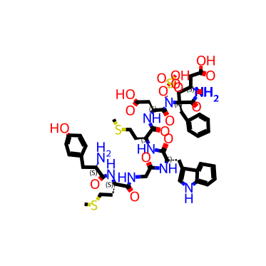 CSCC[C@H](NC(=O)[C@H](Cc1c[nH]c2ccccc12)NC(=O)CNC(=O)[C@H](CCSC)NC(=O)[C@@H](N)Cc1ccc(O)cc1)C(=O)N[C@@H](CC(=O)O)C(=O)N(OS(=O)(=O)O)[C@@](Cc1ccccc1)(C(N)=O)C(=O)[C@@H](N)CC(=O)O